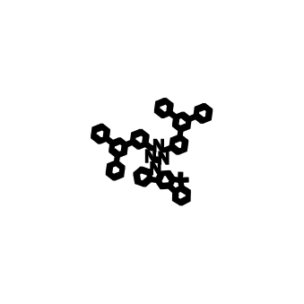 CC1(C)c2ccccc2-c2cc3c4ccccc4n(-c4nc(-c5cccc(-c6cc(-c7ccccc7)cc(-c7ccccc7)c6)c5)nc(-c5cccc(-c6cc(-c7ccccc7)cc(C7C=CC=CC7)c6)c5)n4)c3cc21